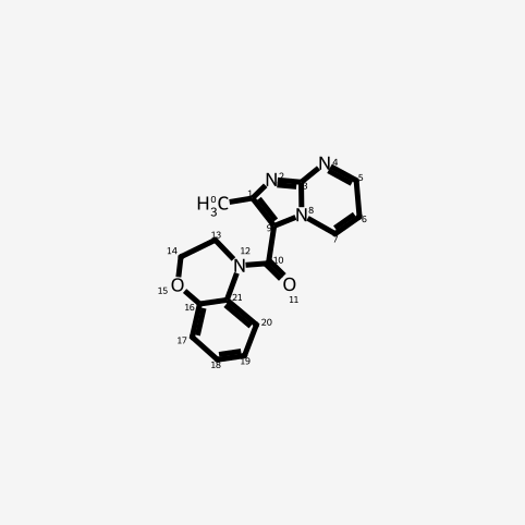 Cc1nc2ncccn2c1C(=O)N1CCOc2ccccc21